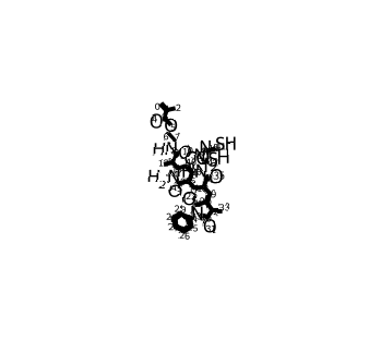 C=C(C)C(=O)OCCNC(=O)C(C)CC(CC(CC(CC1C(=O)N(c2ccccc2)C(=O)C1C)C(=O)Nc1nnc(S)s1)C(N)=O)C(=O)O